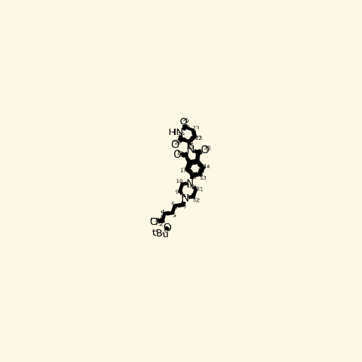 CC(C)(C)OC(=O)CCCCN1CCN(c2ccc3c(c2)C(=O)N(C2CCC(=O)NC2=O)C3=O)CC1